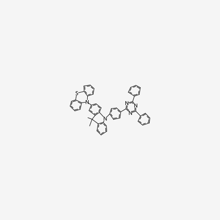 CC1(C)c2ccccc2N(c2ccc(-c3nc(-c4ccccc4)nc(-c4ccccc4)n3)cc2)c2ccc(N3c4ccccc4Sc4ccccc43)cc21